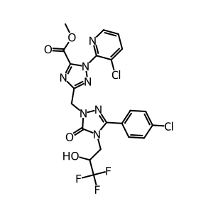 COC(=O)c1nc(Cn2nc(-c3ccc(Cl)cc3)n(CC(O)C(F)(F)F)c2=O)nn1-c1ncccc1Cl